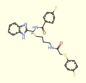 O=C(CSc1ccc(F)cc1)NCCCC[C@@H](NC(=O)c1ccc(F)cc1)c1nc2ccccc2[nH]1